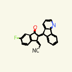 N#C/C=C1/C(=C2\c3ccccc3-c3ncccc32)C(=O)c2cc(F)ccc21